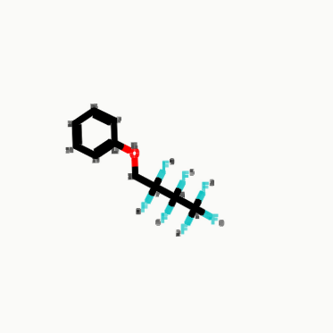 FC(F)(F)C(F)(F)C(F)(F)COc1cc[c]cc1